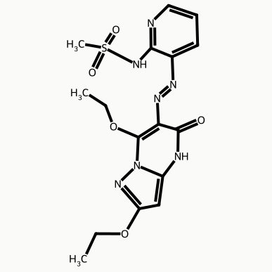 CCOc1cc2[nH]c(=O)c(/N=N/c3cccnc3NS(C)(=O)=O)c(OCC)n2n1